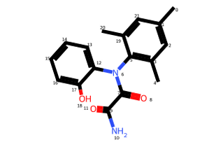 Cc1cc(C)c(N(C(=O)C(N)=O)c2ccccc2O)c(C)c1